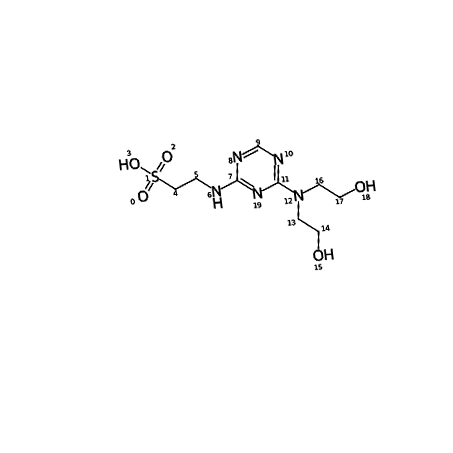 O=S(=O)(O)CCNc1ncnc(N(CCO)CCO)n1